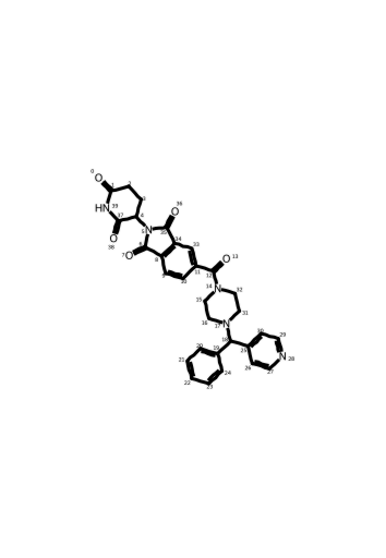 O=C1CCC(N2C(=O)c3ccc(C(=O)N4CCN(C(c5ccccc5)c5ccncc5)CC4)cc3C2=O)C(=O)N1